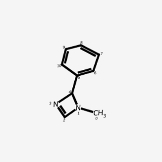 CN1C=NC1c1ccccc1